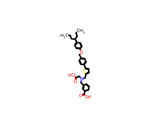 CCCC(CCC)c1ccc(OCc2ccc(-c3ccc(CN(CC(=O)O)Cc4cccc(C(=O)O)c4)s3)cc2)cc1